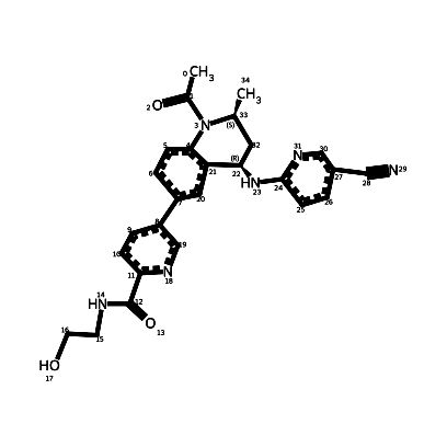 CC(=O)N1c2ccc(-c3ccc(C(=O)NCCO)nc3)cc2[C@H](Nc2ccc(C#N)cn2)C[C@@H]1C